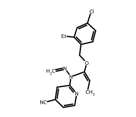 C=NN(/C(=C\C)OCc1ccc(Cl)cc1CC)c1cc(C#N)ccn1